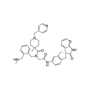 CNCc1ccccc1CN(CC(=O)Nc1ccc2c(c1)C[C@@]1(C2)C(=O)Nc2ncccc21)C(=O)C1(C)CCN(Cc2ccncc2)CC1